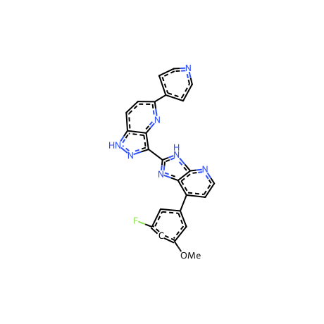 COc1cc(F)cc(-c2ccnc3[nH]c(-c4n[nH]c5ccc(-c6ccncc6)nc45)nc23)c1